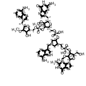 COC1C(O)[C@@H](COP(=O)(O)OC2C(OC)[C@H](Cn3cnc4c(=O)[nH]c(N)nc43)O[C@@H]2COP(=O)(O)OC2CN(Cc3c[nH]c4c(N)ncnc34)C[C@@H]2COP(=O)(O)OC2C(OC)[C@H](n3cnc4c(=O)[nH]c(N)nc43)O[C@@H]2CO)O[C@H]1Cn1cnc2c(N)ncnc21